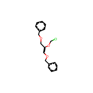 ClCOC(=COCc1ccccc1)COCc1ccccc1